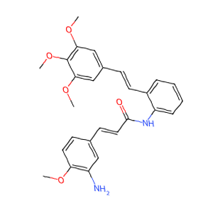 COc1ccc(/C=C/C(=O)Nc2ccccc2C=Cc2cc(OC)c(OC)c(OC)c2)cc1N